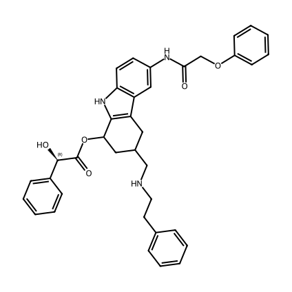 O=C(COc1ccccc1)Nc1ccc2[nH]c3c(c2c1)CC(CNCCc1ccccc1)CC3OC(=O)[C@H](O)c1ccccc1